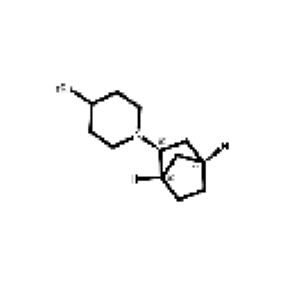 CC(C)(C)C1CCN([C@H]2C[C@@H]3CC[C@H]2C3)CC1